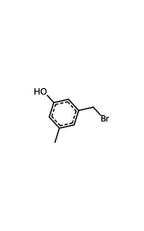 Cc1cc(O)cc(CBr)c1